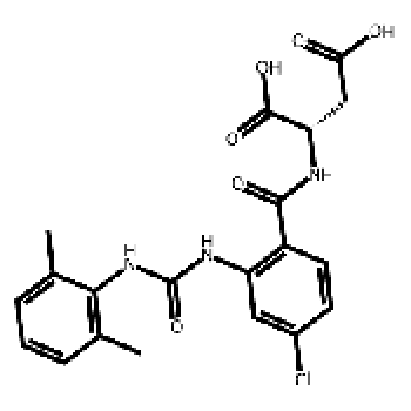 Cc1cccc(C)c1NC(=O)Nc1cc(Cl)ccc1C(=O)N[C@@H](CC(=O)O)C(=O)O